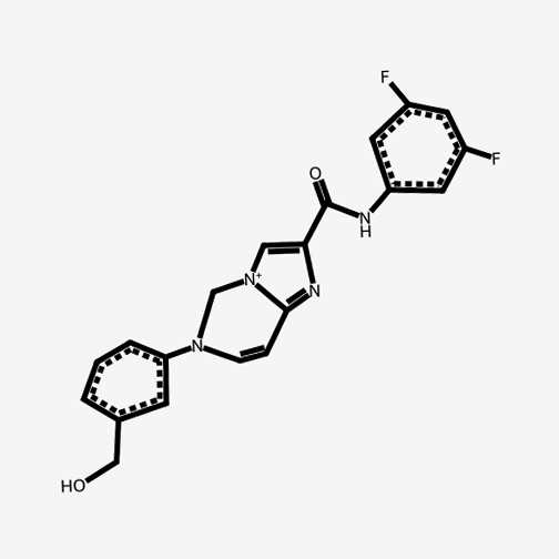 O=C(Nc1cc(F)cc(F)c1)C1=C[N+]2CN(c3cccc(CO)c3)C=CC2=N1